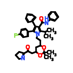 CC(C)c1c(C(=O)Nc2ccccc2)c(-c2ccccc2)c(-c2ccc(F)cc2)n1CCC1CC(CC(=O)C2=NCCC2)OC(C)(C)O1